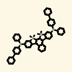 C[Si]1(C)c2cc(N(c3ccccc3)c3ccc(-c4ccccc4)cc3)ccc2-c2c1c1c(c3ccccc23)-c2ccc(N(c3ccccc3)c3ccc(-c4ccccc4)cc3)cc2[Si]1(C)C